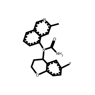 Cc1cc2c(N(C(N)=O)C3CCOc4ccc(F)cc43)cccc2cn1